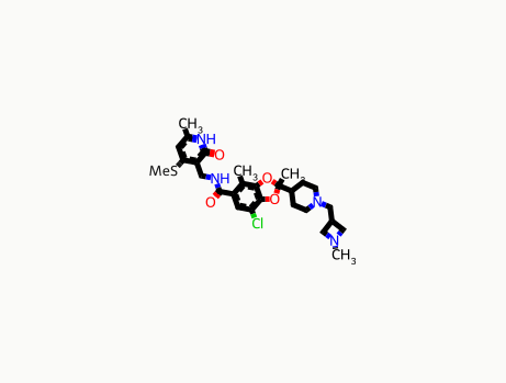 CSc1cc(C)[nH]c(=O)c1CNC(=O)c1cc(Cl)c2c(c1C)OC(C)(C1CCN(CC3CN(C)C3)CC1)O2